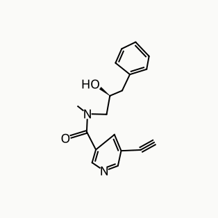 C#Cc1cncc(C(=O)N(C)C[C@@H](O)Cc2ccccc2)c1